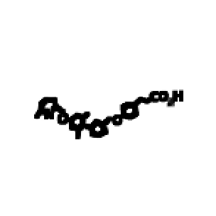 Cc1cccc(COc2cc(C)c(-c3cccc(COc4ccc(CCC(=O)O)cc4)c3)c(C)c2)n1